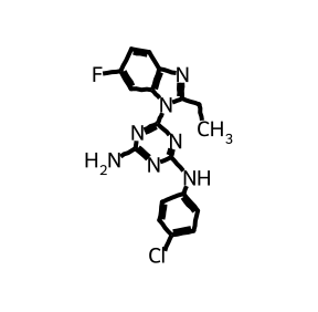 CCc1nc2ccc(F)cc2n1-c1nc(N)nc(Nc2ccc(Cl)cc2)n1